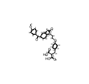 COc1ccc(C(=O)c2ccc3c(c2)sc(=O)n3CCOc2ccc(CC(C(=O)O)C(=O)O)cc2)cc1